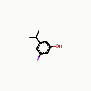 CC(C)c1cc(O)cc(I)c1